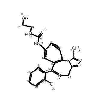 Cc1nnc2n1-c1ccc(NC(=O)NCCO)cc1C(c1ccccc1Cl)=NC2